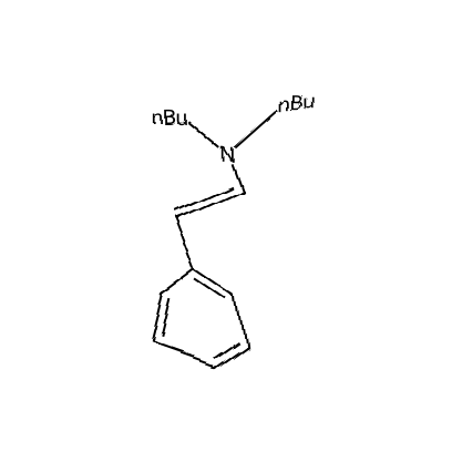 CCCCN(C=Cc1ccccc1)CCCC